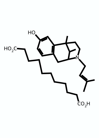 CC(C)=CCN1CCC2(C)c3cc(O)ccc3CC1C2C.O=C(O)CCCCCCCCCC(=O)O